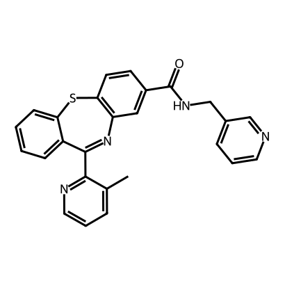 Cc1cccnc1C1=Nc2cc(C(=O)NCc3cccnc3)ccc2Sc2ccccc21